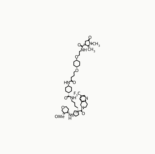 CO[C@@H]1COCC[C@@H]1N[C@@H]1CC[C@](CCCCNC(=O)[C@H]2CC[C@H](NC(=O)CCCO[C@H]3CC[C@H](OCCNC(=O)[C@H]4CC(=O)N(C)[C@@H]4C)CC3)CC2)(C(=O)N2CCc3ncc(C(F)(F)F)cc3C2)C1